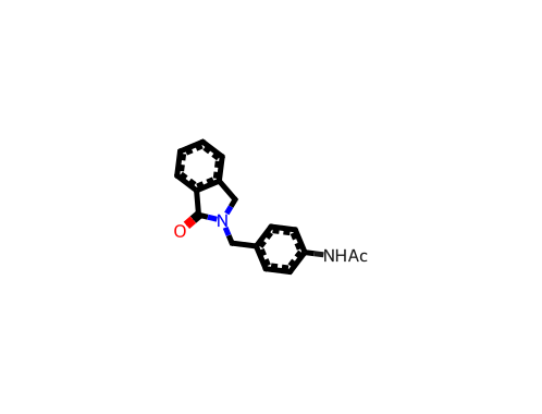 CC(=O)Nc1ccc(CN2Cc3ccccc3C2=O)cc1